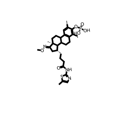 CO/N=C1\C[C@@H](CCCC(=O)Nc2ncc(C)s2)C2C3CCc4c(cc(I)c(OP(=O)(O)O)c4I)C3CC[C@]12C